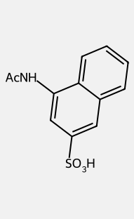 CC(=O)Nc1cc(S(=O)(=O)O)cc2ccccc12